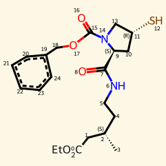 CCOC(=O)C[C@@H](C)CCNC(=O)[C@@H]1C[C@@H](S)CN1C(=O)OCc1ccccc1